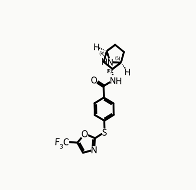 O=C(N[C@@H]1C[C@H]2CC[C@@H]1N2)c1ccc(Sc2ncc(C(F)(F)F)o2)cc1